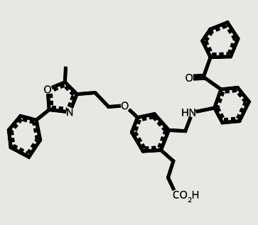 Cc1oc(-c2ccccc2)nc1CCOc1ccc(CCC(=O)O)c(CNc2ccccc2C(=O)c2ccccc2)c1